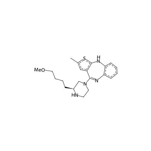 COCCCC[C@H]1CN(C2=Nc3ccccc3Nc3sc(C)cc32)CCN1